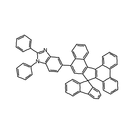 c1ccc(-c2nc3cc(-c4cc5c(c6ccccc46)-c4c(c6ccccc6c6ccccc46)C54c5ccccc5-c5ccccc54)ccc3n2-c2ccccc2)cc1